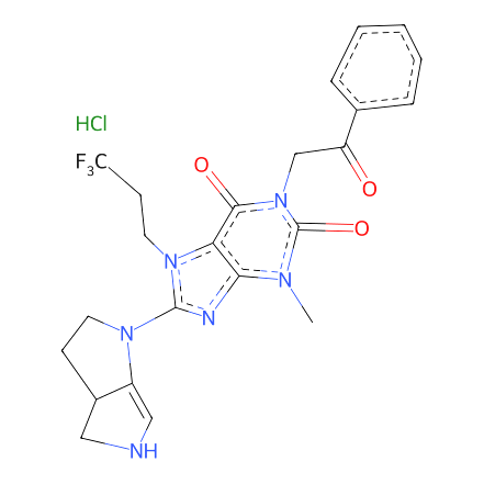 Cl.Cn1c(=O)n(CC(=O)c2ccccc2)c(=O)c2c1nc(N1CCC3CNC=C31)n2CCC(F)(F)F